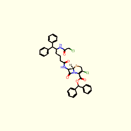 O=C(CCl)NC(CCCC(=O)NC1C(=O)N2C(C(=O)OC(c3ccccc3)c3ccccc3)=C(Cl)CS[C@@H]12)C(c1ccccc1)c1ccccc1